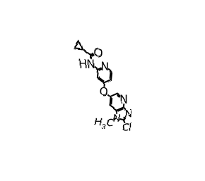 Cn1c(Cl)nc2ncc(Oc3ccnc(NC(=O)C4CC4)c3)cc21